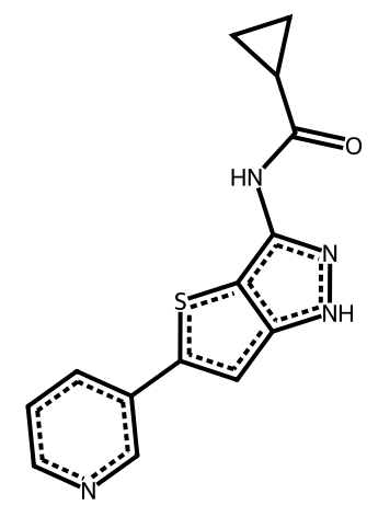 O=C(Nc1n[nH]c2cc(-c3cccnc3)sc12)C1CC1